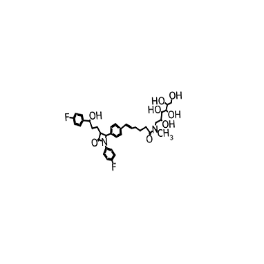 CN(CC(O)C(O)C(O)C(O)CO)C(=O)CCC/C=C/c1ccc(C2C(CCC(O)c3ccc(F)cc3)C(=O)N2c2ccc(F)cc2)cc1